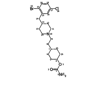 NC(=O)OC1CCC(CCN2CCC(Cc3cc(Cl)ccc3Br)CC2)CC1